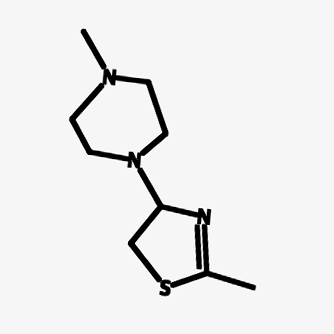 CC1=NC(N2CCN(C)CC2)CS1